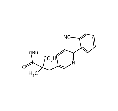 CCCCC(=O)C(C)(Cc1ccc(-c2ccccc2C#N)nc1)C(=O)O